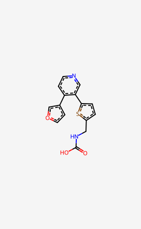 O=C(O)NCc1ccc(-c2cnccc2-c2ccoc2)s1